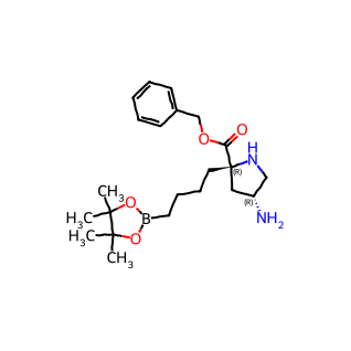 CC1(C)OB(CCCC[C@]2(C(=O)OCc3ccccc3)C[C@@H](N)CN2)OC1(C)C